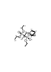 CCOP(=O)(OCC)C(F)(Cn1ccnc1)P(=O)(OCC)OCC